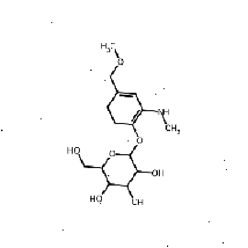 CNC1=C(OC2OC(CO)C(O)C(O)C2O)CCC(COC)=C1